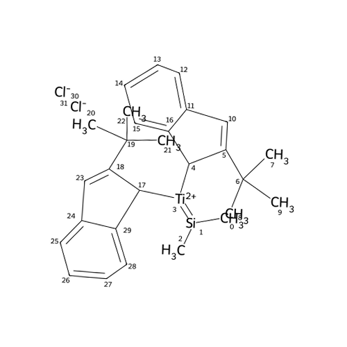 C[Si](C)=[Ti+2]([CH]1C(C(C)(C)C)=Cc2ccccc21)[CH]1C(C(C)(C)C)=Cc2ccccc21.[Cl-].[Cl-]